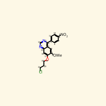 COc1cc2c(-c3ccc([N+](=O)[O-])cc3)ncnc2cc1OCCCCl